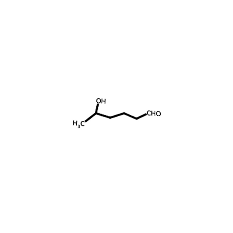 CC(O)CCCC=O